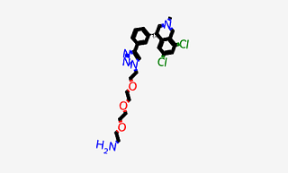 CN1Cc2c(Cl)cc(Cl)cc2[C@H](c2cccc(-c3cn(CCOCCOCCOCCN)nn3)c2)C1